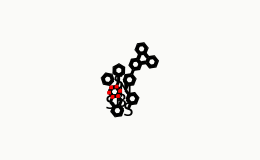 c1ccc([Si]2(c3ccccc3)c3ccccc3N(c3cccc4c3B3c5ccccc5Sc5cccc(c53)S4)c3ccc(-c4ccc5c6ccccc6c6ccccc6c5c4)cc32)cc1